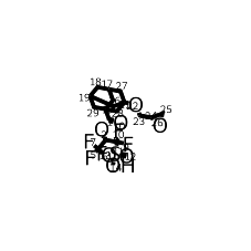 O=C(OC(C(F)(F)F)C(F)(F)S(=O)(=O)O)C12CC3CC(CC(OCC4CO4)(C3)C1)C2